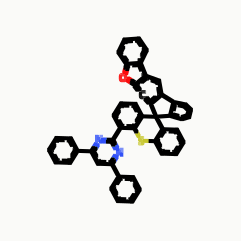 c1ccc(-c2cc(-c3ccccc3)nc(-c3cccc4c3Sc3ccccc3C43c4ccccc4-c4cc5c(cc43)oc3ccccc35)n2)cc1